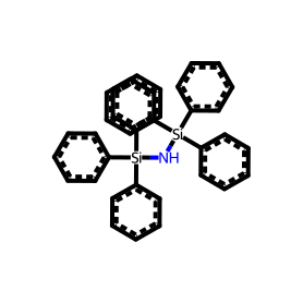 c1ccc([Si](N[Si](c2ccccc2)(c2ccccc2)c2ccccc2)(c2ccccc2)c2ccccc2)cc1